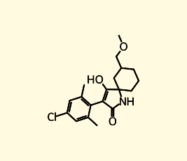 COCC1CCCC2(C1)NC(=O)C(c1c(C)cc(Cl)cc1C)=C2O